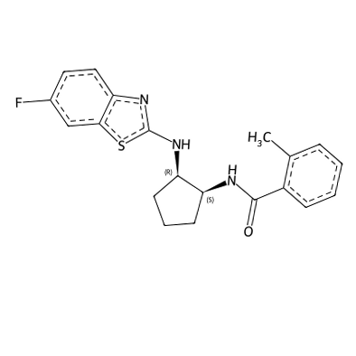 Cc1ccccc1C(=O)N[C@H]1CCC[C@H]1Nc1nc2ccc(F)cc2s1